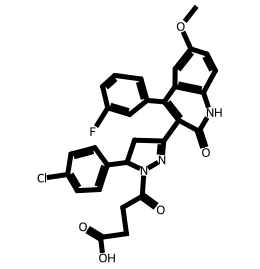 COc1ccc2[nH]c(=O)c(C3=NN(C(=O)CCC(=O)O)C(c4ccc(Cl)cc4)C3)c(-c3cccc(F)c3)c2c1